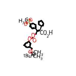 CC(C)(C)[Si](C)(C)OCc1cccc(OC(=O)OC/C(=C(\C(=O)O)c2ccccc2)c2ccc(S(C)(=O)=O)cc2)c1